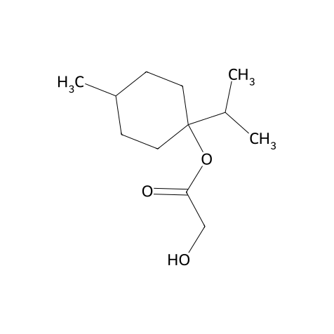 CC1CCC(OC(=O)CO)(C(C)C)CC1